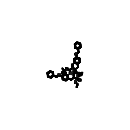 CCOP(=O)(OCC)C(Cc1ccc(OCc2ccccc2)cc1)NC(=O)[C@H](Cc1ccc(OCc2ccccc2)cc1)NC(=O)OC(C)(C)C